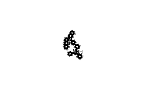 C1=C(c2ccccc2)N=C(c2cccc(-c3ccc(-n4c5cc6ccccc6cc5c5ccc6c(c54)Oc4ccccc4O6)cc3)c2)NC1c1ccccc1